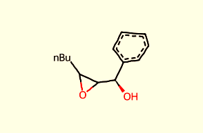 CCCCC1OC1[C@H](O)c1ccccc1